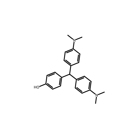 CN(C)c1ccc([C](c2ccc(O)cc2)c2ccc(N(C)C)cc2)cc1